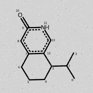 CC(C)C1CCCc2cc(=O)[nH]cc21